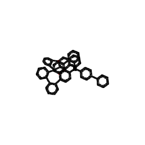 c1ccc(-c2ccc(N(c3ccc4c(c3)C3(c5ccccc5-c5ccccc5-4)c4ccccc4-c4cc5ccccc5cc43)c3ccccc3-c3ccccc3)cc2)cc1